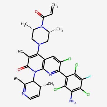 C=CC(=O)N1[C@H](C)CN(c2c(C#N)c(=O)n(C3C(C(C)C)=NC=C[C@H]3C)c3nc(-c4c(Cl)c(N)c(Cl)c(F)c4Cl)c(Cl)cc23)C[C@@H]1C